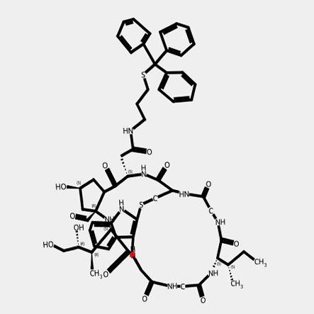 CC[C@H](C)[C@@H]1NC(=O)CNC(=O)C2Cc3c([nH]c4ccccc34)SCC(NC(=O)CNC1=O)C(=O)N[C@@H](CC(=O)NCCCSC(c1ccccc1)(c1ccccc1)c1ccccc1)C(=O)C1C[C@H](O)C[C@@]1(C=O)N[C@@H]([C@@H](C)[C@@H](O)CO)C(=O)N2